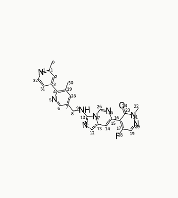 Cc1cc(-c2ncc(CNc3ncc4cc(-c5c(F)cnn(C)c5=O)ncn34)cc2C)ccn1